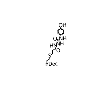 CCCCCCCCCCCCSCCC(=O)NNC(=O)Nc1ccc(O)cc1